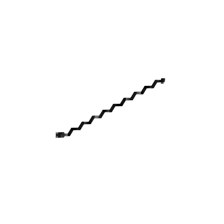 OCCCCCCCCCCCCCCCCCCF